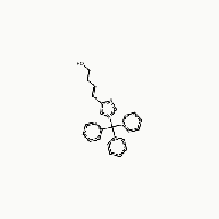 OCCC=Cc1cn(C(c2ccccc2)(c2ccccc2)c2ccccc2)cn1